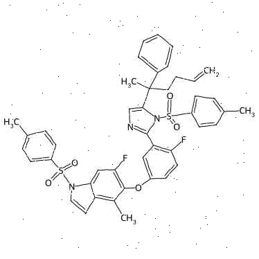 C=CCCC(C)(c1ccccc1)c1cnc(-c2cc(Oc3c(F)cc4c(ccn4S(=O)(=O)c4ccc(C)cc4)c3C)ccc2F)n1S(=O)(=O)c1ccc(C)cc1